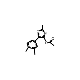 CC(=O)Oc1nc(C)oc1-c1ccc(C)c(C)c1